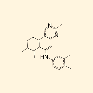 C=C(Nc1ccc(C)c(C)c1)C1C(c2cnc(C)nc2)CCC(C)C1C